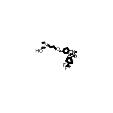 CCN(CCO)CCCCOC[C@H]1CC[C@H](CN(C)S(=O)(=O)c2ccc(C(F)(F)F)cc2)CC1